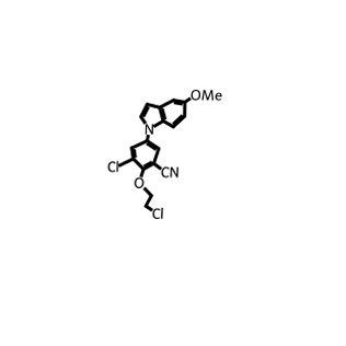 COc1ccc2c(ccn2-c2cc(Cl)c(OCCCl)c(C#N)c2)c1